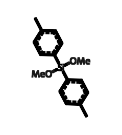 CO[Si](OC)(c1ccc(C)cc1)c1ccc(C)cc1